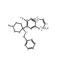 CN1CCC(SCc2ccccc2)(c2cc(F)ccc2F)CC1.O=C(O)/C=C\C(=O)O